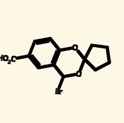 O=C(O)c1ccc2c(c1)C(Br)OC1(CCCC1)O2